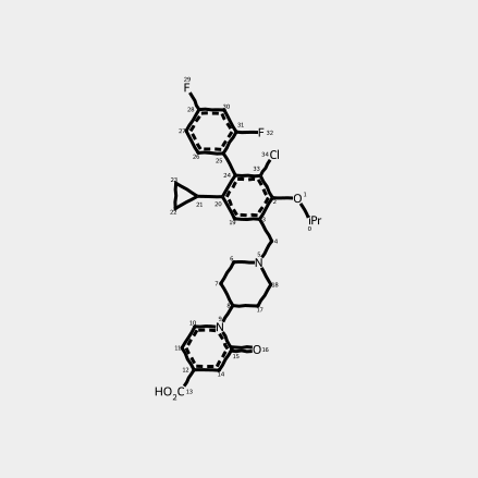 CC(C)Oc1c(CN2CCC(n3ccc(C(=O)O)cc3=O)CC2)cc(C2CC2)c(-c2ccc(F)cc2F)c1Cl